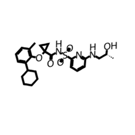 Cc1cccc(C2CCCCC2)c1OC1(C(=O)NS(=O)(=O)c2cccc(NC[C@@H](C)O)n2)CC1